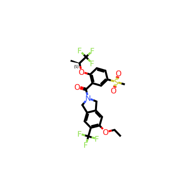 CCOc1cc2c(cc1C(F)(F)F)CN(C(=O)c1cc(S(C)(=O)=O)ccc1O[C@@H](C)C(F)(F)F)C2